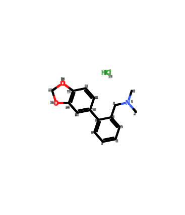 CN(C)Cc1ccccc1-c1ccc2c(c1)OCO2.Cl